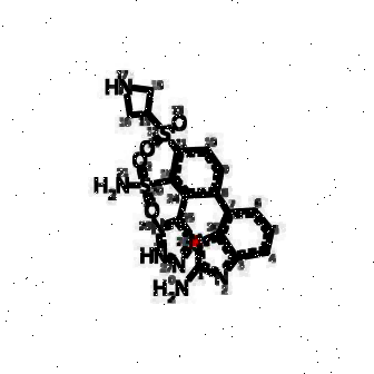 Nc1nc2cccc(-c3ccc(S(=O)(=O)C4CNC4)c(S(N)(=O)=O)c3-c3nn[nH]n3)c2s1